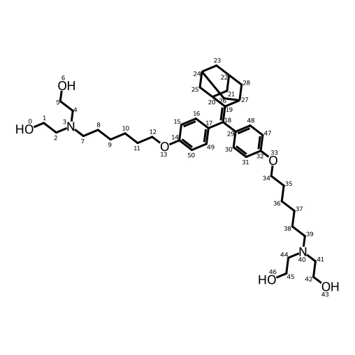 OCCN(CCO)CCCCCCOc1ccc(C(=C2C3CC4CC(C3)CC2C4)c2ccc(OCCCCCCN(CCO)CCO)cc2)cc1